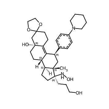 C[C@]12C[C@H](c3ccc(N4CCCCC4)cc3)C3=C4CCC5(C[C@]4(O)CC[C@H]3[C@@H]1CC[C@]2(CCCO)NO)OCCO5